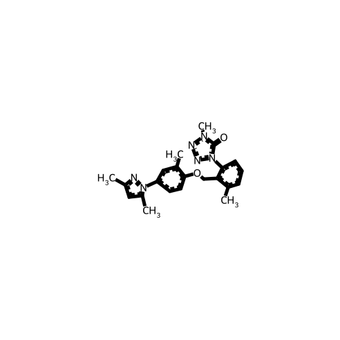 Cc1cc(C)n(-c2ccc(OCc3c(C)cccc3-n3nnn(C)c3=O)c(C)c2)n1